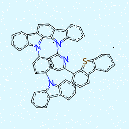 c1cc(-c2cccc3c2sc2ccccc23)nc(-n2c3ccccc3c3ccc4c5ccccc5n(-c5ccc(-n6c7ccccc7c7ccccc76)cc5)c4c32)c1